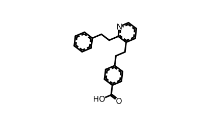 O=C(O)c1ccc(CCc2cccnc2CCc2ccccc2)cc1